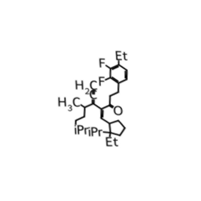 C=C=C(/C(=C/C1CCCC1(CC)C(C)C)C(=O)CCc1ccc(CC)c(F)c1F)C(C)CCC(C)C